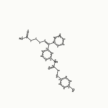 O=C(O)CCCC=C(c1cccnc1)c1cccc(NC(=O)COc2ccc(Cl)cc2)c1